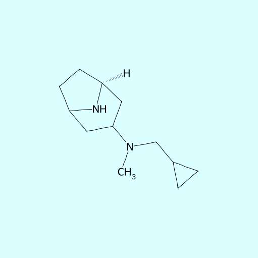 CN(CC1CC1)C1CC2CC[C@@H](C1)N2